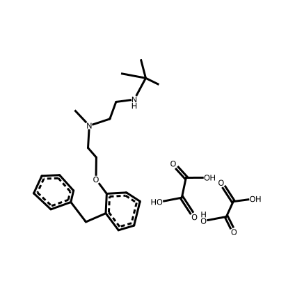 CN(CCNC(C)(C)C)CCOc1ccccc1Cc1ccccc1.O=C(O)C(=O)O.O=C(O)C(=O)O